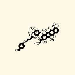 COc1cccc2c1C(=O)c1c(O)c3c(c(O)c1C2=O)C[C@@](O)(C(=O)CO)C[C@@H]3O[C@@H]1C[C@@H](C)[C@@H](O)[C@@H](NC(=O)CCCOc2ccc(C=O)cc2)C1